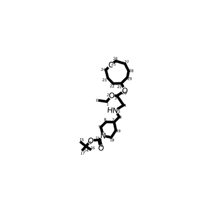 CCOC(CNCC1CCN(C(=O)OC(C)(C)C)CC1)OC1CCCCCCCC1